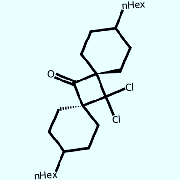 CCCCCCC1CC[C@]2(CC1)C(=O)[C@@]1(CCC(CCCCCC)CC1)C2(Cl)Cl